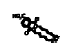 CC(C)CCCCCOC(=O)c1ccc(C(=O)O)cc1C(=O)OCCCCCC(C)C